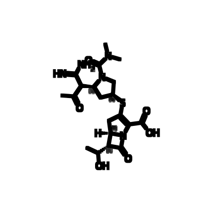 CC(=O)C(C(=N)N)[C@@H]1C[C@H](SC2=C(C(=O)O)N3C(=O)[C@H](C(C)O)[C@H]3C2)CN1C(=O)N(C)C